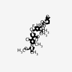 COC[C@H]1CN(c2cc(Cl)c3c4c(c(=O)oc3c2C)CN(C(=O)c2cc(N(C)C)c(C(=O)NS(=O)(=O)N3CCCC5(COC5)C3)cc2F)CC4)CCN1C